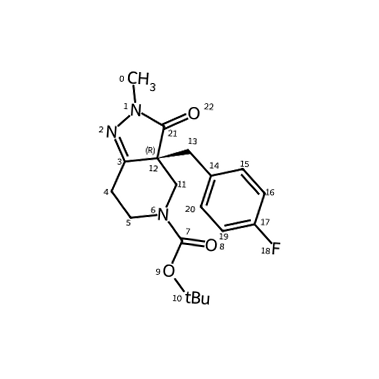 CN1N=C2CCN(C(=O)OC(C)(C)C)C[C@@]2(Cc2ccc(F)cc2)C1=O